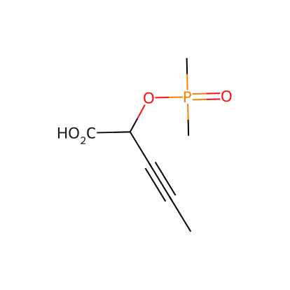 CC#CC(OP(C)(C)=O)C(=O)O